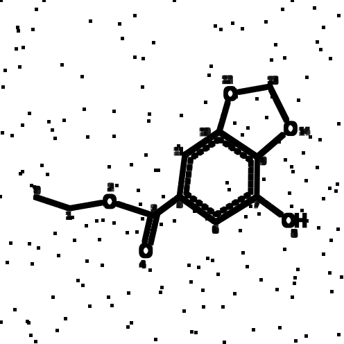 CCOC(=O)c1cc(O)c2c(c1)OCO2